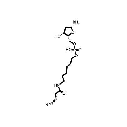 B[C@H]1C[C@@H](O)[C@@H](COP(=O)(O)OCCCCCCNC(=O)CN=[N+]=[N-])O1